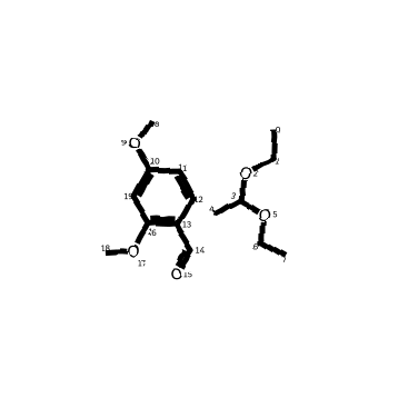 CCOC(C)OCC.COc1ccc(C=O)c(OC)c1